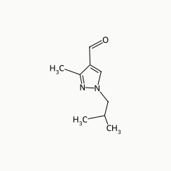 Cc1nn(CC(C)C)cc1C=O